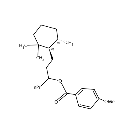 CCCC(CC[C@@H]1[C@@H](C)CCCC1(C)C)OC(=O)c1ccc(OC)cc1